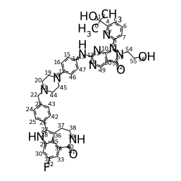 CC(C)(O)c1cccc(-n2c3nc(Nc4ccc(N5CCN(Cc6ccc(-c7[nH]c8cc(F)cc9c8c7CCNC9=O)cc6)CC5)cc4)ncc3c(=O)n2CCO)n1